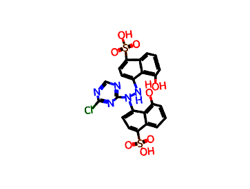 O=S(=O)(O)c1ccc(NN(c2ncnc(Cl)n2)c2ccc(S(=O)(=O)O)c3cccc(O)c23)c2c(O)cccc12